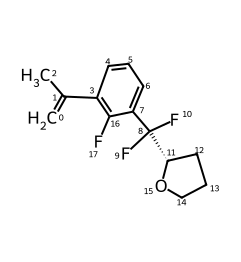 C=C(C)c1cccc(C(F)(F)[C@@H]2CCCO2)c1F